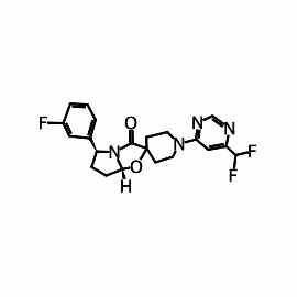 O=C1N2[C@@H](CC[C@H]2c2cccc(F)c2)OC12CCN(c1cc(C(F)F)ncn1)CC2